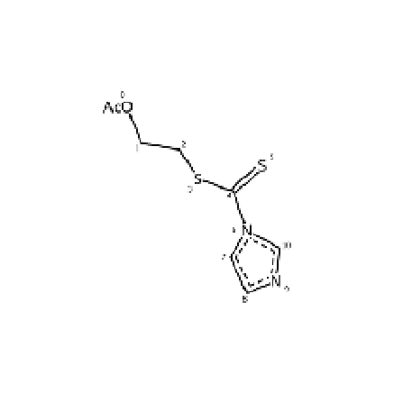 CC(=O)OCCSC(=S)n1ccnc1